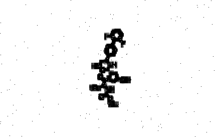 CC(C)(C)OC(=O)N[C@H](C(=O)N1C[C@H](O)C[C@H]1C(=O)N[C@@H](CO)c1ccc(-c2c(F)cccc2F)cc1)C(C)(C)C